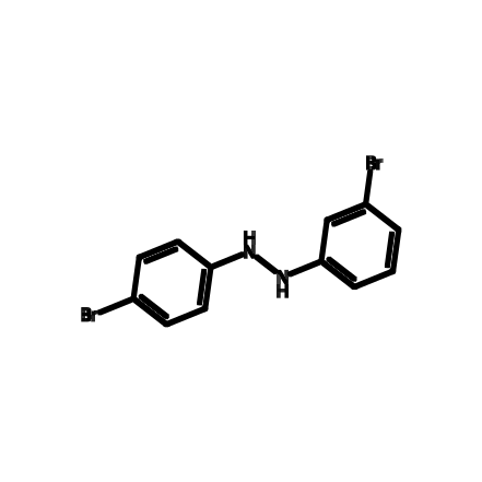 Brc1ccc(NNc2cccc(Br)c2)cc1